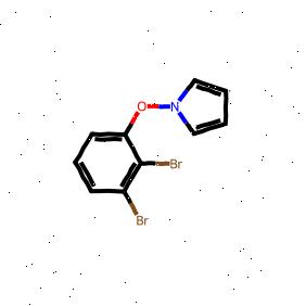 Brc1cccc(On2c[c]cc2)c1Br